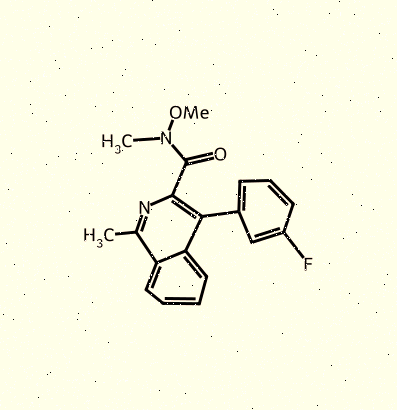 CON(C)C(=O)c1nc(C)c2ccccc2c1-c1cccc(F)c1